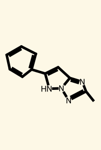 Cc1nc2cc(-c3ccccc3)[nH]n2n1